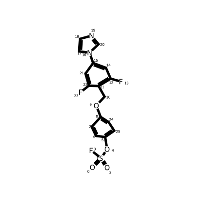 O=S(=O)(F)Oc1ccc(OCc2c(F)cc(-n3ccnc3)cc2F)cc1